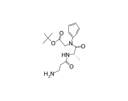 C[C@H](NC(=O)CCN)C(=O)N(CC(=O)OC(C)(C)C)c1ccccc1